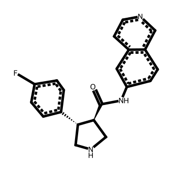 O=C(Nc1ccc2cnccc2c1)[C@H]1CNC[C@@H]1c1ccc(F)cc1